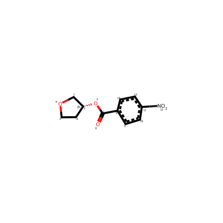 O=C(O[C@@H]1CCOC1)c1ccc([N+](=O)[O-])cc1